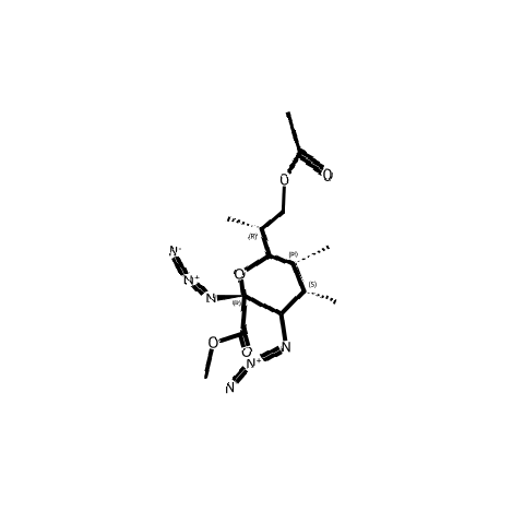 COC(=O)[C@]1(N=[N+]=[N-])OC([C@H](C)COC(C)=O)[C@H](C)[C@H](C)C1N=[N+]=[N-]